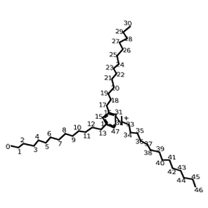 CCCCCCCCCCCCCCc1cc(CCCCCCCCCCCCCC)c[n+](CCCCCCCCCCCCCC)c1